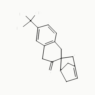 CC(C)(C)c1ccc2c(c1)CC(=O)C1(CC3=CCC1C3)C2